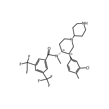 Cc1ccc([C@@H]2CN(C3CCNCC3)CC[C@H]2N(C)C(=O)c2cc(C(F)(F)F)cc(C(F)(F)F)c2)cc1Cl